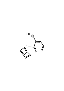 C#Cc1cccnc1Cl.c1cc2ccc1-2